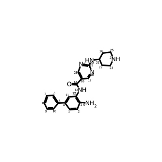 Nc1ccc(-c2ccccc2)cc1NC(=O)c1cnc(NC2CCNCC2)nc1